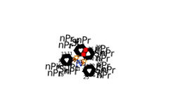 CCC[Si](CCC)(CCC)c1cccc(P(c2cccc([Si](CCC)(CCC)CCC)c2)N(C(C)C)P(c2cccc([Si](CCC)(CCC)CCC)c2)c2cccc([Si](CCC)(CCC)CCC)c2)c1